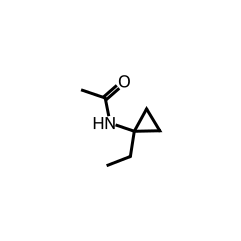 CCC1(NC(C)=O)CC1